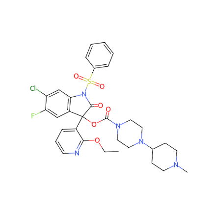 CCOc1ncccc1C1(OC(=O)N2CCN(C3CCN(C)CC3)CC2)C(=O)N(S(=O)(=O)c2ccccc2)c2cc(Cl)c(F)cc21